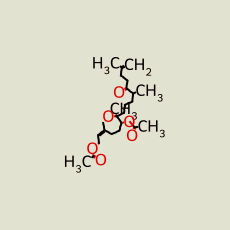 C=C(C)CCC(=O)C(C)CCCC1(C)OC/C(=C/COC(C)=O)CCC1OC(C)=O